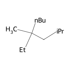 [CH2]C(C)CC(C)(CC)CCCC